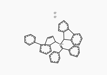 C1=C[CH]([Zr+2](=[C](c2ccccc2)c2ccccc2)[CH]2c3ccccc3-c3ccccc32)c2cccc(-c3ccccc3)c21.[Cl-].[Cl-]